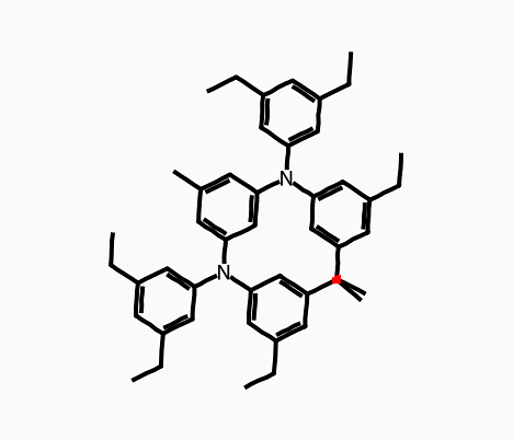 CCc1cc(CC)cc(N(c2cc(CC)cc(CC)c2)c2cc(C)cc(N(c3cc(CC)cc(CC)c3)c3cc(CC)cc(CC)c3)c2)c1